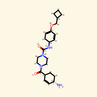 N[C@@H]1C=CC(C(=O)N2CCN(C(=O)NC3C=CC(OCC4CCC4)=CC3)CC2)CC1